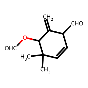 C=C1C(C=O)C=CC(C)(C)C1OC=O